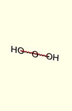 OCCCCCCCCC=COC=CCCCCCCCCO